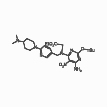 CCCCOc1nc(N)c([N+](=O)[O-])c(N(CC(=O)OCC)Cc2ccc(N3CCC(N(C)C)CC3)nc2)n1